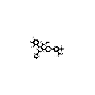 CCOC(=O)C1=C(C2CCN(c3cc(C(=O)O)c(C(F)(F)F)cn3)CC2)NC(c2nccs2)=NC1c1ccc(F)c(F)c1Cl